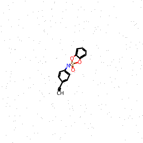 C#Cc1ccc(N=S2(=O)Oc3ccccc3O2)cc1